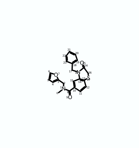 CN(Cc1ccco1)C(=O)c1ccc2c(c1)N(Cc1ccccc1)C(=O)CS2